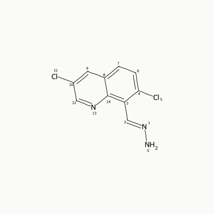 NN=Cc1c(Cl)ccc2cc(Cl)cnc12